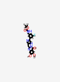 COc1cc2nc(Cc3ccc(-c4cc(F)cc(CNC(=O)OC(C)(C)C)c4)nc3)[nH]c(=O)c2cc1OC